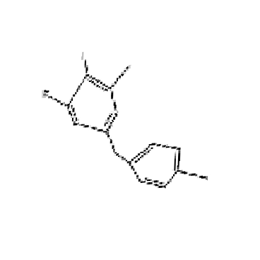 Cc1ccc(Cc2cc(C)c(F)c(F)c2)cc1